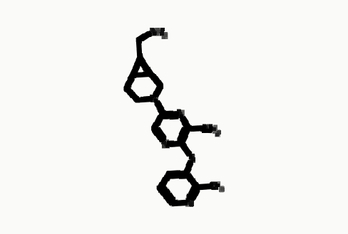 NCC1C2CCN(c3cnc(Sc4cccnc4C(F)(F)F)c(N)n3)CC12